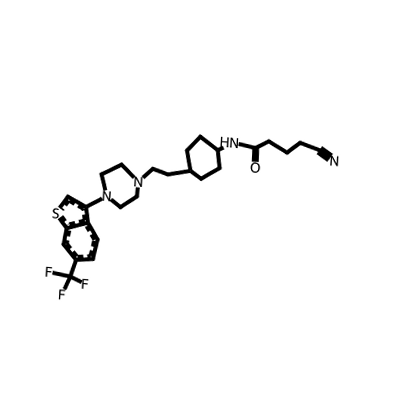 N#CCCCC(=O)NC1CCC(CCN2CCN(c3csc4cc(C(F)(F)F)ccc34)CC2)CC1